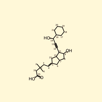 CC(C)(C/C=C1/CC2CC(O)C(C#CC(O)C3CCCCC3)C2C1)CC(=O)O